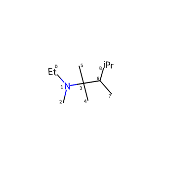 CCN(C)C(C)(C)C(C)C(C)C